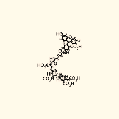 O=C1C=CC2C(=C1)Oc1cc(O)ccc1C2c1ccc(NC(=O)CSCCC(=O)N[C@@H](CCC(=O)N[C@@H](COP(=O)(O)N[C@@H](CCC(=O)O)C(=O)O)C(=O)O)C(=O)O)cc1C(=O)O